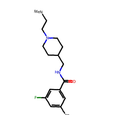 CNCCN1CCC(CNC(=O)c2cc(F)cc(C(F)(F)F)c2)CC1